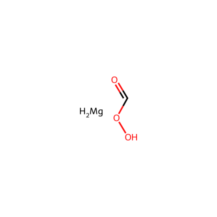 O=COO.[MgH2]